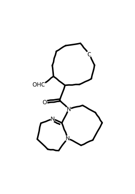 O=CC1CCCCCCCCC1C(=O)N1CCCCCN2CCCCN=C21